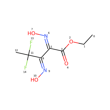 CCOC(=O)C(=NO)C(=NO)C(C)(F)F